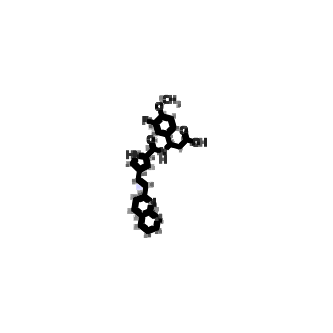 COc1ccc(C(CC(=O)O)NC(=O)c2cc(/C=C/c3ccc4cccnc4n3)c[nH]2)cc1F